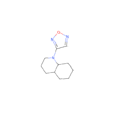 [c]1nonc1N1CCCC2CCCCC21